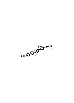 CC#Cc1ccc(-c2ccc(C(=O)Oc3ccc(-c4ccc(O)cc4)cc3)cc2)c(F)c1